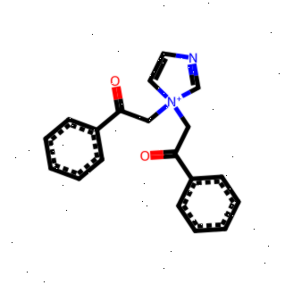 O=C(C[N+]1(CC(=O)c2ccccc2)C=CN=C1)c1ccccc1